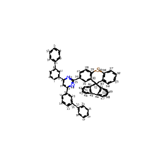 c1ccc(-c2cccc(-c3cc(-c4cccc(-c5ccccc5)c4)nc(-c4ccc5c(c4)C4(c6ccccc6S5)c5ccccc5-c5ccccc54)n3)c2)cc1